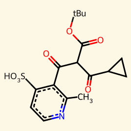 Cc1nccc(S(=O)(=O)O)c1C(=O)C(C(=O)OC(C)(C)C)C(=O)C1CC1